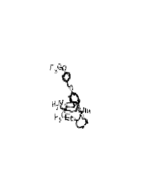 CCC1CCCCN1C(=N)N(CC(C)(C)CN)c1ccc(OCc2ccc(OC(F)(F)F)cc2)cc1